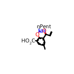 C=CC(=O)c1cc(C)cc(C(=O)O)c1ONCCCCC